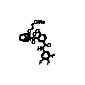 COCCOC[C@]1(O)C2CCC1C[C@@H](S(=O)(=O)c1cc(C(=O)Nc3cc(F)c(F)c(F)c3)ccc1Cl)C2